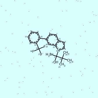 BC(O)(n1ccc2ccc(-c3ccccc3C(F)(F)F)cc21)C(C)(C)C